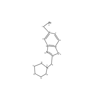 CC(C)Cc1ccc2oc(CN3CCCCC3)nc2c1